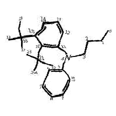 CCCCN(c1ccccc1)c1cccc(C(C)(C)C)c1C(C)(C)C